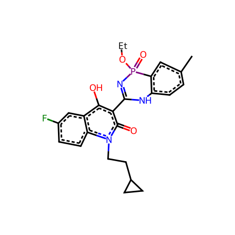 CCOP1(=O)N=C(c2c(O)c3cc(F)ccc3n(CCC3CC3)c2=O)Nc2ccc(C)cc21